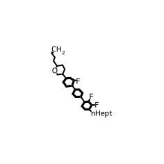 C=CCCC1CCC(c2ccc(-c3ccc(-c4ccc(CCCCCCC)c(F)c4F)cc3)c(F)c2)CO1